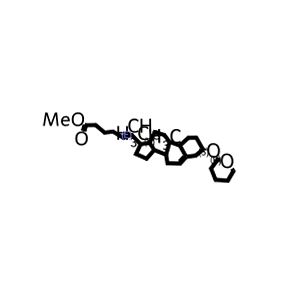 COC(=O)CCC/C=C(\C)C1CCC2C3CC=C4C[C@@H](O[C@@H]5CCCCO5)CCC4(C)C3CC[C@]12C